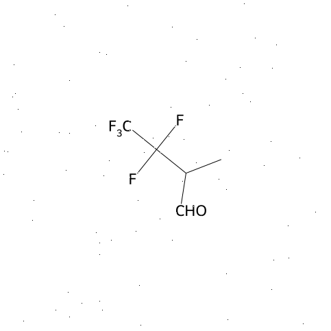 CC(C=O)C(F)(F)C(F)(F)F